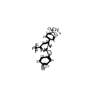 CS(=O)(=O)c1ccc(-c2cc(C(F)(F)F)nc(Oc3ccc(Br)cc3)n2)cc1